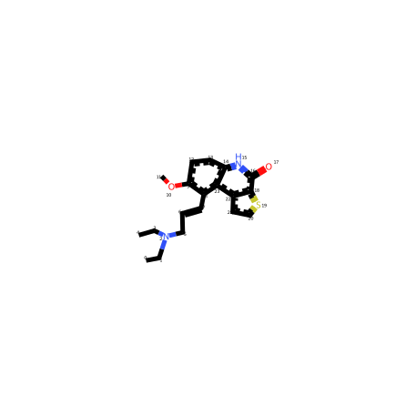 CCN(CC)CC=Cc1c(OC)ccc2[nH]c(=O)c3sccc3c12